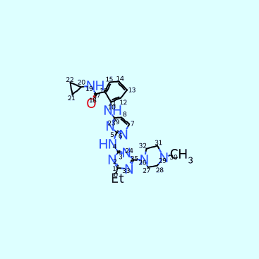 CCc1nc(Nc2nccc(Nc3ccccc3C(=O)NC3CC3)n2)nc(N2CCN(C)CC2)n1